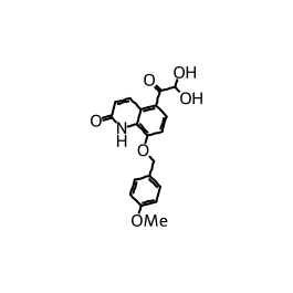 COc1ccc(COc2ccc(C(=O)C(O)O)c3ccc(=O)[nH]c23)cc1